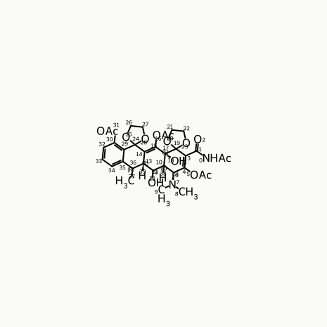 CC(=O)NC(=O)C1=C(OC(C)=O)[C@@H](N(C)C)[C@@H]2[C@@H](O)[C@H]3C(=C(OC(C)=O)[C@]2(O)C12OCCO2)C1(OCCO1)c1c(OC(C)=O)cccc1[C@@H]3C